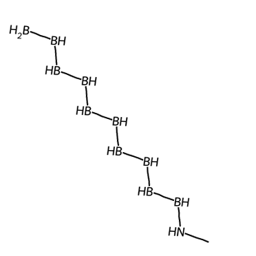 BBBBBBBBBBNC